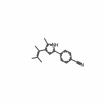 CC(C)=C(C)c1cc(-c2ccc(C#N)cc2)[nH]c1C